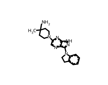 CC1(CN)CCN(c2cnc3c(N4CCc5ccccc54)n[nH]c3n2)CC1